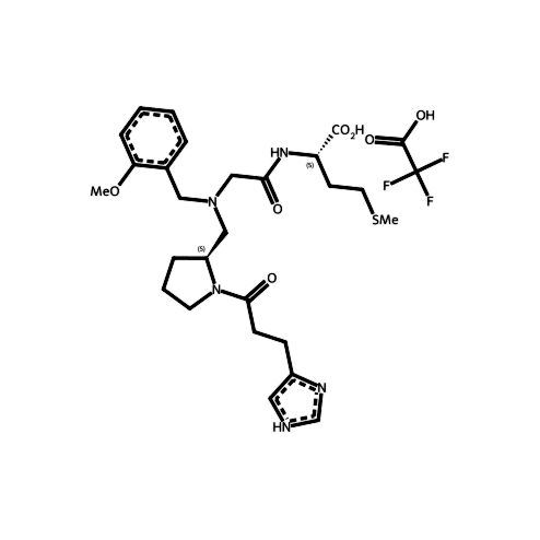 COc1ccccc1CN(CC(=O)N[C@@H](CCSC)C(=O)O)C[C@@H]1CCCN1C(=O)CCc1c[nH]cn1.O=C(O)C(F)(F)F